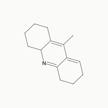 CC1=C2CCCCC2N=C2CCCC=C21